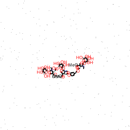 C/C=C1\[C@H](O[C@@H]2O[C@H](CO)[C@@H](O)[C@H](O)[C@H]2O)OC=C(C(=O)OC)[C@H]1CC(=O)OC[C@H]1O[C@@H](O[C@@H]2OC=C(C(=O)OC)[C@@H](CC(=O)Oc3ccc(CCOC(=O)C[C@@H]4C(C(=O)OC)=CO[C@@H](O[C@@H]5O[C@H](CO)[C@@H](O)[C@H](O)[C@H]5O)/C4=C/C)cc3)/C2=C\C)[C@H](O)[C@@H](O)[C@@H]1O